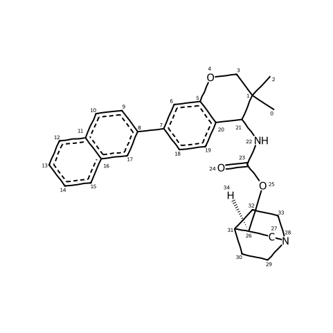 CC1(C)COc2cc(-c3ccc4ccccc4c3)ccc2C1NC(=O)O[C@H]1CN2CCC1CC2